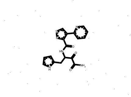 NC(=O)C(=O)C(Cc1ccc[nH]1)NC(=O)c1nscc1-c1ccccn1